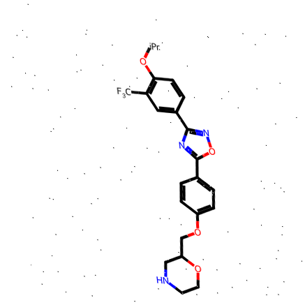 CC(C)Oc1ccc(-c2noc(-c3ccc(OCC4CNCCO4)cc3)n2)cc1C(F)(F)F